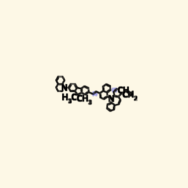 C=CC1=C(/C=C\C)N(c2ccc(/C=C/c3ccc4c(c3)C(C)(C)c3cc(N5CCCC6=C5CCC=C6)ccc3-4)c3ccccc23)c2ccccc2C=C1